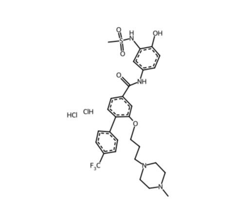 CN1CCN(CCCOc2cc(C(=O)Nc3ccc(O)c(NS(C)(=O)=O)c3)ccc2-c2ccc(C(F)(F)F)cc2)CC1.Cl.Cl